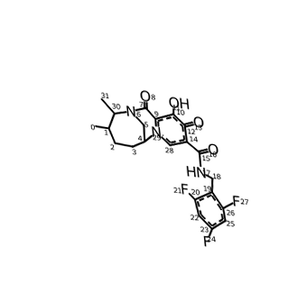 CC1CCC2CN(C(=O)c3c(O)c(=O)c(C(=O)NCc4c(F)cc(F)cc4F)cn32)C1C